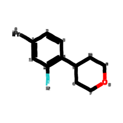 CC(C)c1ccc(C2CCOCC2)c(F)c1